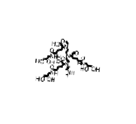 CCN(CCN(CCN(CCNI)C(CCCC(=O)NCC(O)CO)C(=O)O)C(C=O)CCCC(=O)NCC(O)CO)C(CCCC(=O)NCC(O)CO)C(=O)O